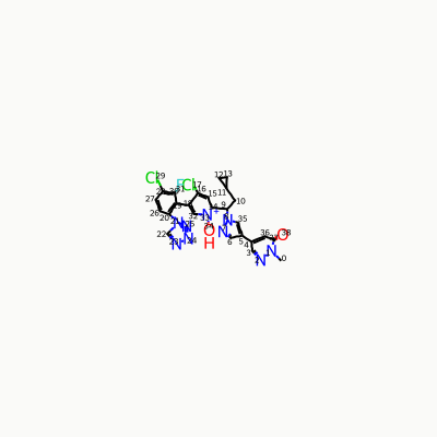 Cn1ncc(-c2cnn(C(CC3CC3)c3cc(Cl)c(-c4c(-n5cnnn5)ccc(Cl)c4F)c[n+]3O)c2)cc1=O